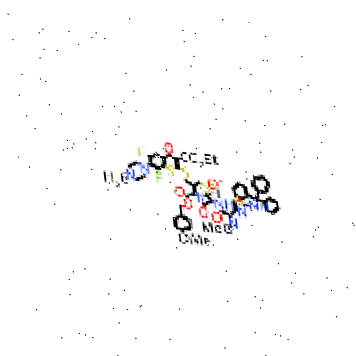 CCOC(=O)c1c(SCC2=C(C(=O)OCc3ccc(OC)cc3)N3C(=O)C(NC(=O)/C(=N\OC)c4csc(NC(c5ccccc5)(c5ccccc5)c5ccccc5)n4)[C@@H]3[S+]([O-])C2)sc2c(F)c(N3CCN(C)CC3)c(F)cc2c1=O